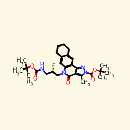 Cc1c2c(=O)n(C[C@H](F)CNC(=O)OC(C)(C)C)c3cc4c(cc3c2nn1C(=O)OC(C)(C)C)CCCC4